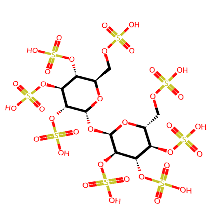 O=S(=O)(O)OC[C@H]1O[C@H](O[C@H]2O[C@H](COS(=O)(=O)O)[C@@H](OS(=O)(=O)O)[C@H](OS(=O)(=O)O)[C@H]2OS(=O)(=O)O)[C@H](OS(=O)(=O)O)[C@@H](OS(=O)(=O)O)[C@@H]1OS(=O)(=O)O